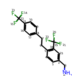 NCc1ccc(CCc2ccc(C(F)(F)F)cc2)c(C(F)(F)F)c1